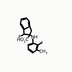 Cc1cccc(NC2(C(=O)O)Cc3ccccc3C2F)c1I